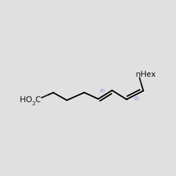 CCCCCC/C=C\C=C\CCCC(=O)O